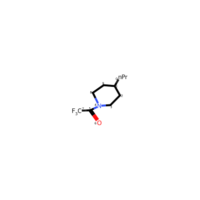 CCCC1CCN(C(=O)C(F)(F)F)CC1